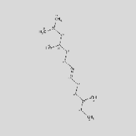 CCC(O)CC/C=C/CCC(O)CC(C)C